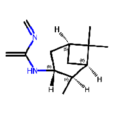 C=NC(=C)N[C@@H]1C[C@@H]2C[C@H]([C@H]1C)C2(C)C